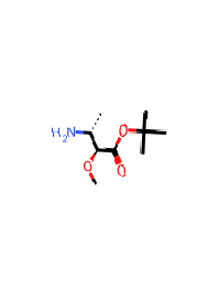 CO[C@H](C(=O)OC(C)(C)C)[C@@H](C)N